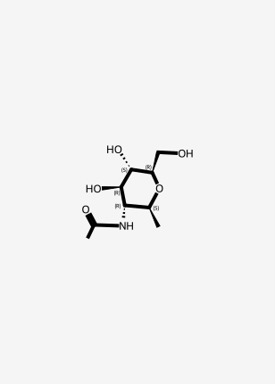 CC(=O)N[C@@H]1[C@@H](O)[C@H](O)[C@@H](CO)O[C@H]1C